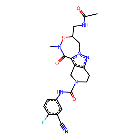 CC(=O)NCC1Cn2nc3c(c2C(=O)N(C)O1)CN(C(=O)Nc1ccc(F)c(C#N)c1)CC3